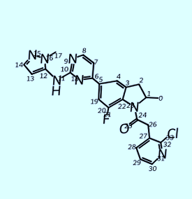 CC1Cc2cc(-c3ccnc(Nc4ccnn4C)n3)cc(F)c2N1C(=O)Cc1cccnc1Cl